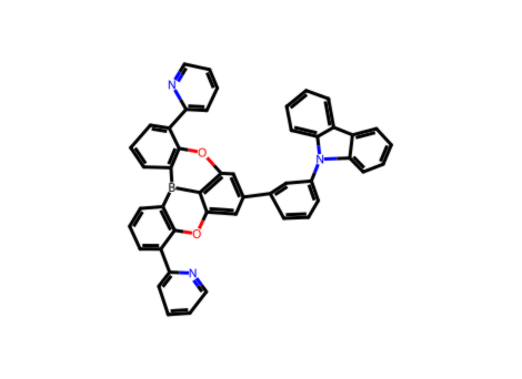 c1ccc(-c2cccc3c2Oc2cc(-c4cccc(-n5c6ccccc6c6ccccc65)c4)cc4c2B3c2cccc(-c3ccccn3)c2O4)nc1